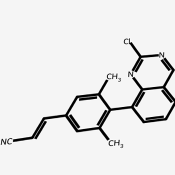 Cc1cc(/C=C/C#N)cc(C)c1-c1cccc2cnc(Cl)nc12